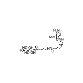 COc1cc(N)c(Cl)cc1C(=O)NC1CCN(CC(C)CCCC(=O)NCCCCCCCC(=O)NC[C@H](O)[C@@H](O)[C@H](O)[C@H](O)CO)CC1